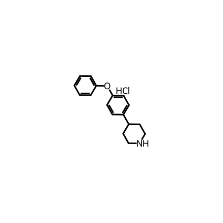 Cl.c1ccc(Oc2ccc(C3CCNCC3)cc2)cc1